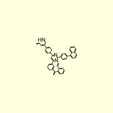 C=C/C=C(\C=N)C1=CCC(c2cc(C3=CCCC(C(=C)c4ccccc4C=C)=C3)nc(-c3ccc(-c4cccc5ccccc45)cc3)n2)C=C1